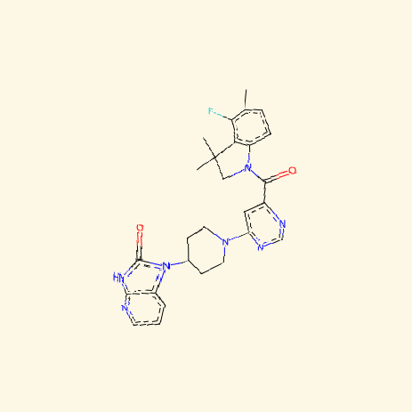 Cc1ccc2c(c1F)C(C)(C)CN2C(=O)c1cc(N2CCC(n3c(=O)[nH]c4ncccc43)CC2)ncn1